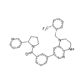 O=C(c1cccc(-c2cnc3c(c2)N(Cc2ccccc2C(F)(F)F)CCN3)c1)N1CCCC1c1cccnc1